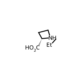 CCC.O=C(O)[C@@H]1CCN1